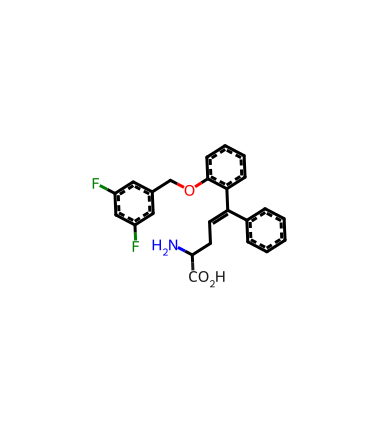 NC(C/C=C(\c1ccccc1)c1ccccc1OCc1cc(F)cc(F)c1)C(=O)O